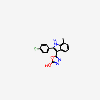 Cc1cccc2c(-c3nnc(O)o3)c(-c3ccc(F)cc3)[nH]c12